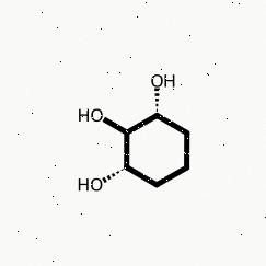 OC1[C@H](O)CCC[C@@H]1O